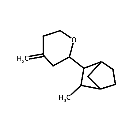 C=C1CCOC(C2C3CCC(C3)C2C)C1